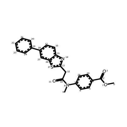 COC(=O)c1ccc(N(C)C(=O)Cc2nc3ccc(-c4ccccc4)cc3s2)cc1